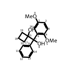 COc1ccc(OC)c(C(O)(c2ccccc2)C2(O)CCC2)c1